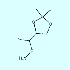 CC(ON)C1COC(C)(C)O1